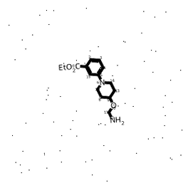 CCOC(=O)c1cccc(N2CCC(OCN)CC2)c1